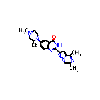 CC[C@H]1CN(C)CCN1c1ccc2nc(-c3cc4c(C)nc(C)cn4n3)[nH]c(=O)c2c1